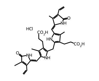 C=CC1=C(C)/C(=C/c2[nH]c(Cc3[nH]c(/C=C4\NC(=O)C(C)=C4C=C)c(C)c3CCC(=O)O)c(CCC(=O)O)c2C)NC1=O.Cl